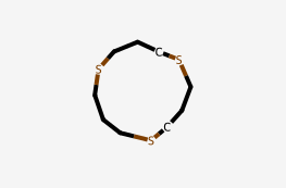 C1CSCCCSCCCSC1